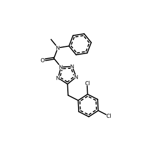 CN(C(=O)n1nnc(Cc2ccc(Cl)cc2Cl)n1)c1ccccc1